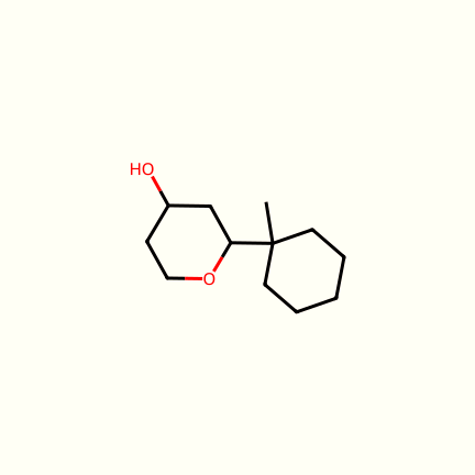 CC1(C2CC(O)CCO2)CCCCC1